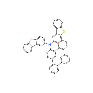 c1ccc(-c2ccccc2-c2ccc(N(c3ccc4oc5ccccc5c4c3)c3ccc4sc5ccccc5c4c3)c(-c3ccccc3)c2)cc1